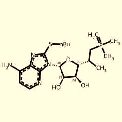 C=P(C)(C)CC(C)[C@H]1O[C@@H](n2c(SCCCC)nc3c(N)ccnc32)[C@H](O)[C@@H]1O